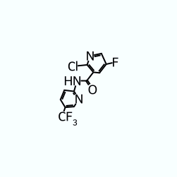 O=C(Nc1ccc(C(F)(F)F)cn1)c1cc(F)cnc1Cl